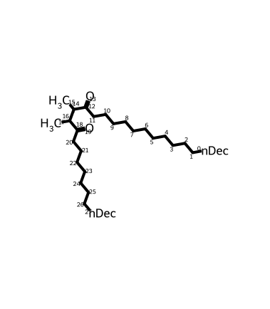 CCCCCCCCCCCCCCCCCCCCCC(=O)[C](C)C(C)C(=O)CCCCCCCCCCCCCCCCC